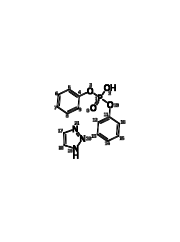 O=P(O)(Oc1ccccc1)Oc1ccccc1.c1c[nH]nn1